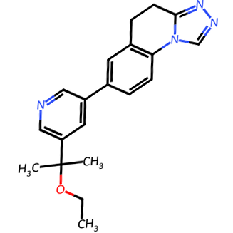 CCOC(C)(C)c1cncc(-c2ccc3c(c2)CCc2nncn2-3)c1